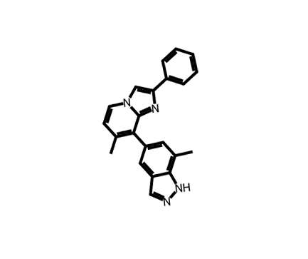 Cc1ccn2cc(-c3ccccc3)nc2c1-c1cc(C)c2[nH]ncc2c1